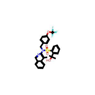 Cc1c(N(Cc2ccc(OC(F)(F)F)cc2)S(=O)(=O)c2ccccc2C(C)(C)O)ncc2ccccc12